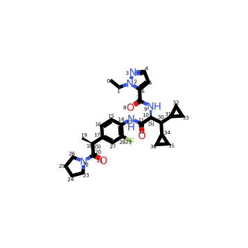 CCn1nccc1C(=O)N[C@H](C(=O)Nc1ccc([C@H](C)C(=O)N2CCCC2)cc1F)C(C1CC1)C1CC1